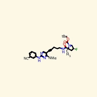 CNc1nc(Nc2cccc(C#N)c2)ncc1C#CCCCNC(=O)[C@]1(C)C[C@H](F)CN1C(=O)OC(C)(C)C